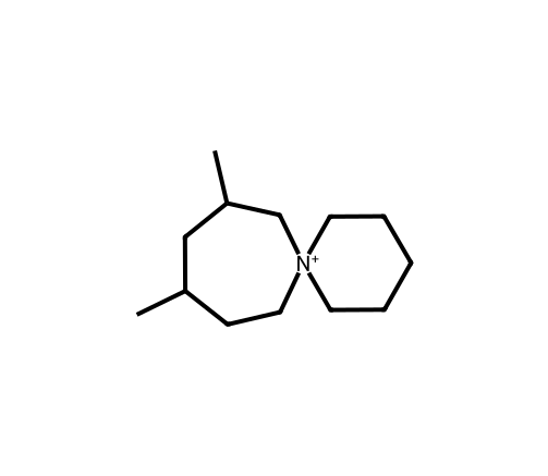 CC1CC[N+]2(CCCCC2)CC(C)C1